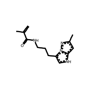 C=C(C)C(=O)NCCCc1c[nH]c2cc(C)nn12